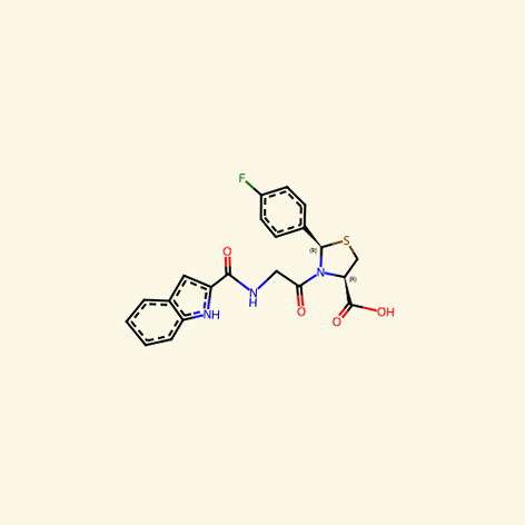 O=C(NCC(=O)N1[C@@H](c2ccc(F)cc2)SC[C@H]1C(=O)O)c1cc2ccccc2[nH]1